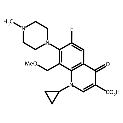 COCc1c(N2CCN(C)CC2)c(F)cc2c(=O)c(C(=O)O)cn(C3CC3)c12